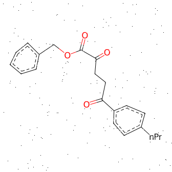 CCCc1ccc(C(=O)CCC(=O)C(=O)OCc2ccccc2)cc1